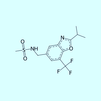 CC(C)c1nc2cc(CNS(C)(=O)=O)cc(C(F)(F)F)c2o1